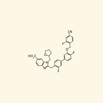 N#Cc1ccc(COc2cc(-c3ccc(Cc4nc5ccc(C(=O)O)cc5n4CC4CCCO4)c(F)c3)ccc2F)c(F)c1